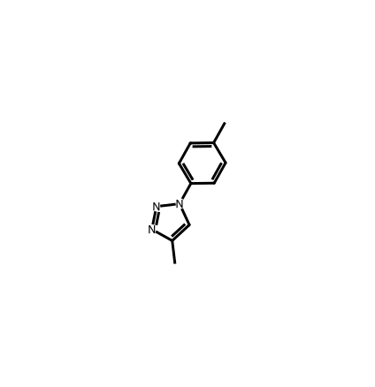 Cc1ccc(-n2cc(C)nn2)cc1